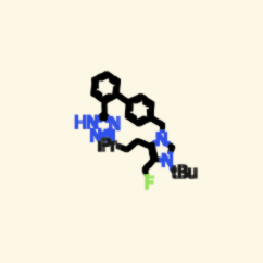 CC(C)CCC1=C(CF)N(C(C)(C)C)CN1Cc1ccc(-c2ccccc2-c2nnn[nH]2)cc1